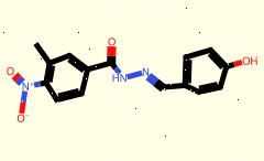 Cc1cc(C(=O)NN=Cc2ccc(O)cc2)ccc1[N+](=O)[O-]